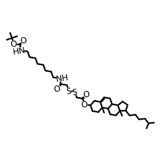 CC(C)CCCCC1CCC2C3CC=C4CC(OC(=O)CSSCC(=O)NCCCCCCCCNC(=O)OC(C)(C)C)CCC4(C)C3CCC12C